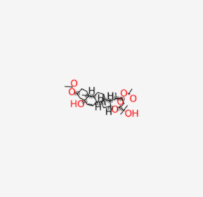 CC(=O)O[C@H]1CC[C@]2(C)[C@H]3CC[C@@]4(C)[C@@H](C[C@@H]5O[C@@]6(C(C)(C)O)C[C@@H](OC(C)=O)[C@](C)(O6)[C@@H]54)[C@@H]3C=C[C@@]2(O)C1